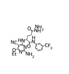 CCOc1nc(N)nc(NC(CCC(=O)NN)C(=O)Nc2cccc(C(F)(F)F)c2)c1C#N